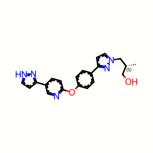 C[C@H](CO)Cn1ccc(-c2ccc(Oc3ccc(-c4cc[nH]n4)cn3)cc2)n1